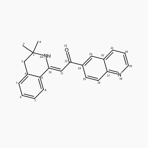 CC1(C)Cc2ccccc2/C(=C/C(=O)c2ccc3ncccc3c2)N1